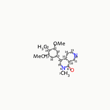 COc1cc(-c2cn(C)c(=O)c3cnccc23)cc(OC)c1C